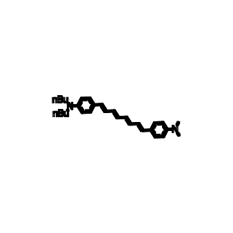 CCCCN(CCCC)c1ccc(/C=C/C=C/C=C/C=C/c2ccc(N(C)C)cc2)cc1